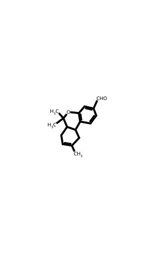 CC1=CCC2C(C1)c1ccc(C=O)cc1OC2(C)C